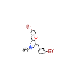 CC(C)N1CC(=Cc2cccc(Br)c2)C(=O)C(=Cc2cccc(Br)c2)C1